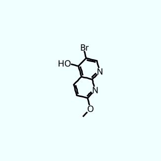 COc1ccc2c(O)c(Br)cnc2n1